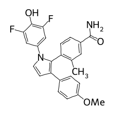 COc1ccc(-c2ccn(-c3cc(F)c(O)c(F)c3)c2-c2ccc(C(N)=O)cc2C)cc1